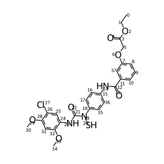 CCOC(=O)COc1cccc(C(=O)Nc2ccc(N(S)C(=O)Nc3cc(Cl)c(OC)cc3OC)cc2)c1